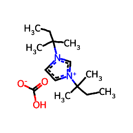 CCC(C)(C)n1cc[n+](C(C)(C)CC)c1.O=C([O-])O